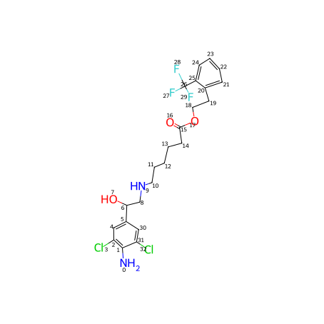 Nc1c(Cl)cc(C(O)CNCCCCCC(=O)OCCc2ccccc2C(F)(F)F)cc1Cl